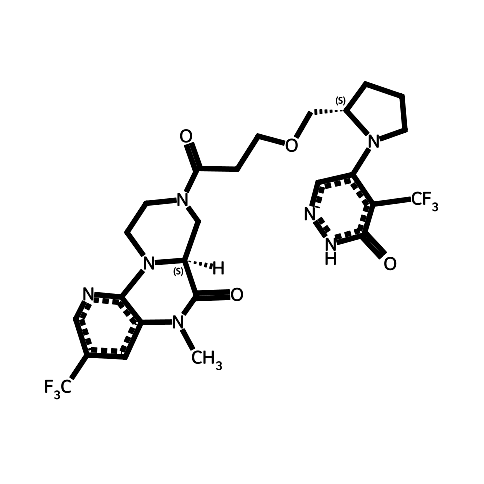 CN1C(=O)[C@@H]2CN(C(=O)CCOC[C@@H]3CCCN3c3cn[nH]c(=O)c3C(F)(F)F)CCN2c2ncc(C(F)(F)F)cc21